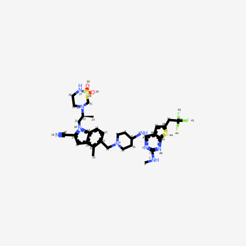 CNc1nc(NC2CCN(Cc3ccc4c(cc(C#N)n4C[C@H](C)N4CCNS(=O)(=O)C4)c3C)CC2)c2cc(CC(F)(F)F)sc2n1